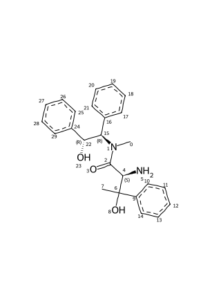 CN(C(=O)[C@@H](N)C(C)(O)c1ccccc1)[C@H](c1ccccc1)[C@H](O)c1ccccc1